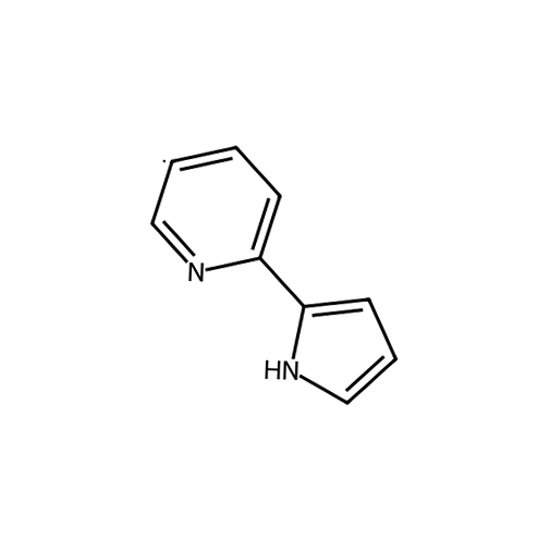 [c]1ccc(-c2ccc[nH]2)nc1